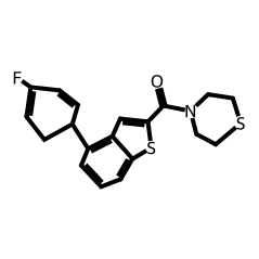 O=C(c1cc2c(C3C=CC(F)=CC3)cccc2s1)N1CCSCC1